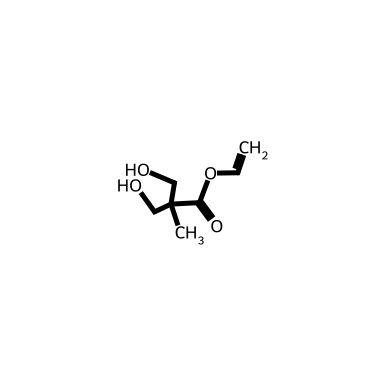 C=COC(=O)C(C)(CO)CO